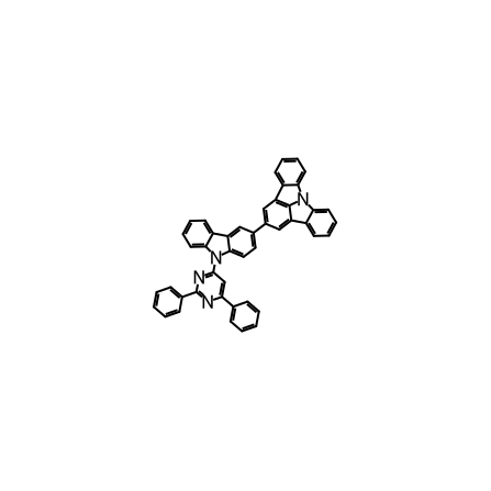 c1ccc(-c2cc(-n3c4ccccc4c4cc(-c5cc6c7ccccc7n7c8ccccc8c(c5)c67)ccc43)nc(-c3ccccc3)n2)cc1